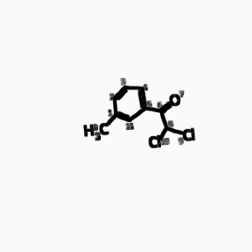 Cc1cccc(C(=O)C(Cl)Cl)c1